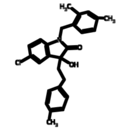 Cc1ccc(CCC2(O)C(=O)N(Cc3ccc(C)cc3C)c3ccc(Cl)cc32)cc1